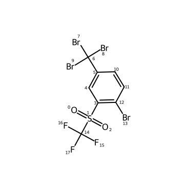 O=S(=O)(c1cc(C(Br)(Br)Br)ccc1Br)C(F)(F)F